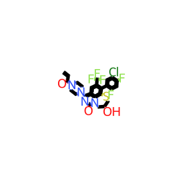 C=CC(=O)N1CCN(c2nc(=O)n3c4c(c(-c5cc(Cl)c(F)cc5F)c(C(F)(F)F)cc24)SCC(O)C3)CC1